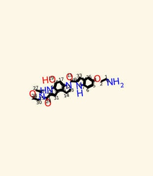 NCCOc1ccc2[nH]c(C(=O)N3CCc4c3cc(O)c3[nH]c(C(=O)N5CCOCC5)cc43)cc2c1